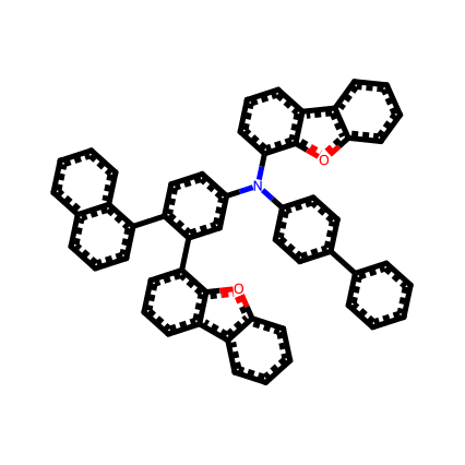 c1ccc(-c2ccc(N(c3ccc(-c4cccc5ccccc45)c(-c4cccc5c4oc4ccccc45)c3)c3cccc4c3oc3ccccc34)cc2)cc1